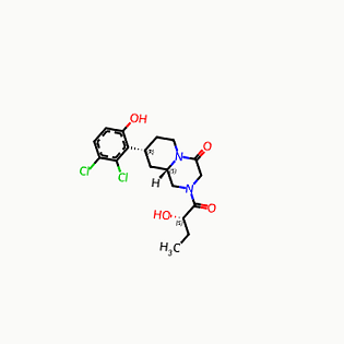 CC[C@H](O)C(=O)N1CC(=O)N2CC[C@@H](c3c(O)ccc(Cl)c3Cl)C[C@H]2C1